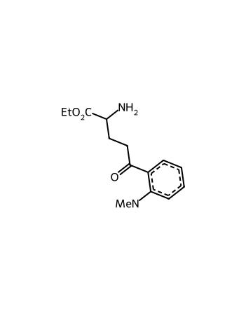 CCOC(=O)C(N)CCC(=O)c1ccccc1NC